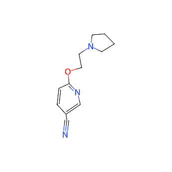 N#Cc1ccc(OCCN2CCCC2)nc1